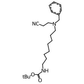 CC(C)(C)OC(=O)NCCCCCCCCN(CCC#N)Cc1ccccc1